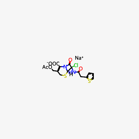 CC(=O)OCC1=C(C(=O)[O-])N2C(=O)[C@](Cl)(NC(=O)Cc3cccs3)[C@H]2SC1.[Na+]